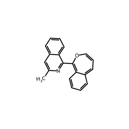 Cc1cc2ccccc2c(C2=c3ccccc3=CC=CO2)n1